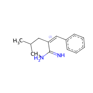 CC(C)C/C(=C/c1ccccc1)C(=N)N